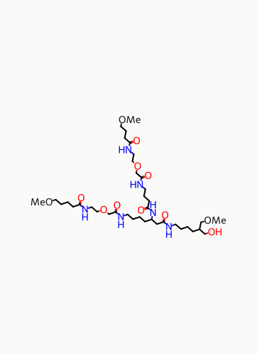 COCCCCC(=O)NCCOCC(=O)NCCCCC(CC(=O)NCCCCC(CO)COC)NC(=O)CCCNC(=O)COCCNC(=O)CCCOC